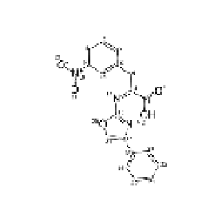 O=C(O)C(Cc1cccc([N+](=O)[O-])c1)=Nc1nc(-c2ccccc2)co1